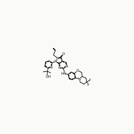 C=CCn1c(=O)c2cnc(Nc3ccc4c(c3)OCC3CC(F)(F)CCN43)nc2n1-c1cccc(C(C)(C)O)n1